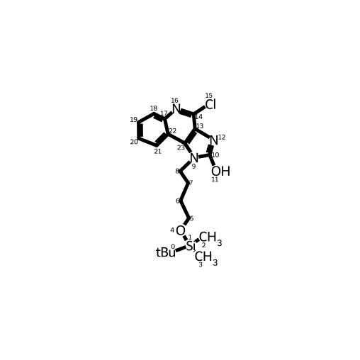 CC(C)(C)[Si](C)(C)OCCCCn1c(O)nc2c(Cl)nc3ccccc3c21